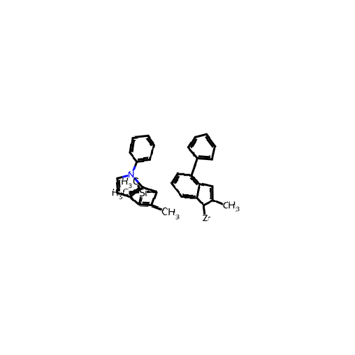 CC1=C2c3ccn(-c4ccccc4)c3C1[Si]2(C)C.CC1=Cc2c(-c3ccccc3)cccc2[CH]1[Zr]